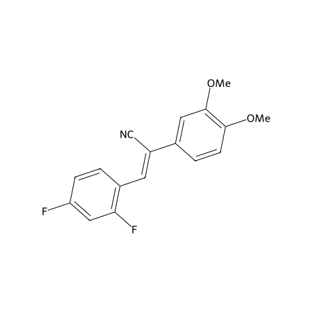 COc1ccc(C(C#N)=Cc2ccc(F)cc2F)cc1OC